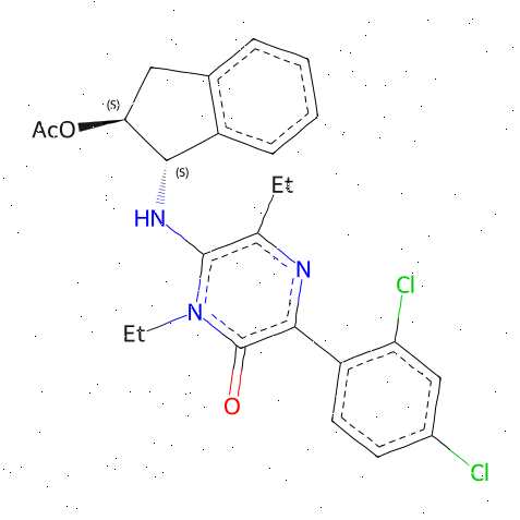 CCc1nc(-c2ccc(Cl)cc2Cl)c(=O)n(CC)c1N[C@H]1c2ccccc2C[C@@H]1OC(C)=O